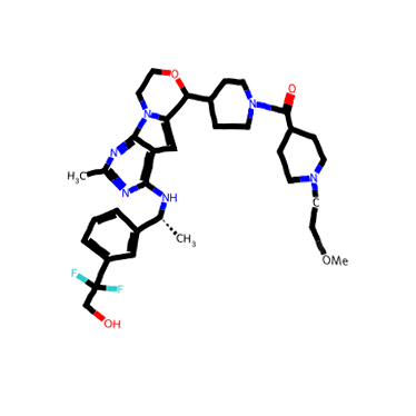 COCCN1CCC(C(=O)N2CCC(C3OCCn4c3cc3c(N[C@H](C)c5cccc(C(F)(F)CO)c5)nc(C)nc34)CC2)CC1